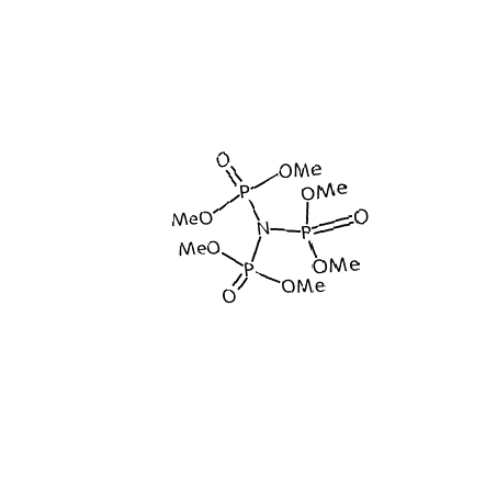 COP(=O)(OC)N(P(=O)(OC)OC)P(=O)(OC)OC